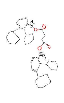 O=C(CCC(=O)O[SiH2]c1cccc(C2CCCCC2)c1C1CCCCC1)O[SiH2]c1cccc(C2CCCCC2)c1C1CCCCC1